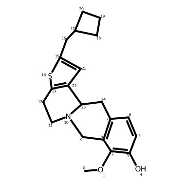 COc1c(O)ccc2c1CN1CCc3sc(CC4CCC4)cc3C1C2